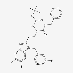 Cc1cc2nc(CC[C@H](NC(=O)OC(C)(C)C)C(=O)OCc3ccccc3)n(Cc3cccc(F)c3)c2cc1C